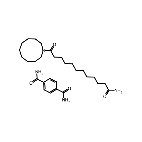 NC(=O)CCCCCCCCCCC(=O)N1CCCCCCCCC1.NC(=O)c1ccc(C(N)=O)cc1